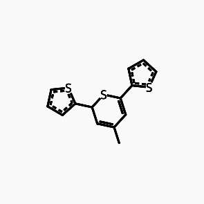 CC1=CC(c2cccs2)SC(c2cccs2)=C1